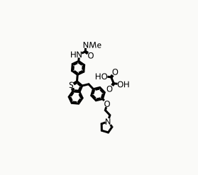 CNC(=O)Nc1ccc(-c2sc3ccccc3c2Cc2ccc(OCCN3CCCC3)cc2)cc1.O=C(O)C(=O)O